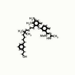 CN/C(=N\C(C)=N)c1cc(Oc2c(F)cc(N)c(C)c2CCSCC(C)(C)CCCCc2cccc(CCO)c2)ccc1F